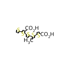 Cc1cc(-c2ccc(C(=O)O)s2)sc1-c1ccc(-c2sc(-c3cccs3)cc2CC(=O)O)s1